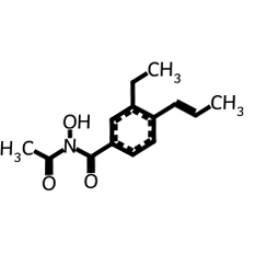 CC=Cc1ccc(C(=O)N(O)C(C)=O)cc1CC